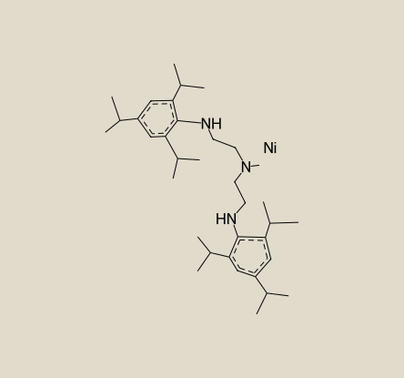 CC(C)c1cc(C(C)C)c(NCCN(C)CCNc2c(C(C)C)cc(C(C)C)cc2C(C)C)c(C(C)C)c1.[Ni]